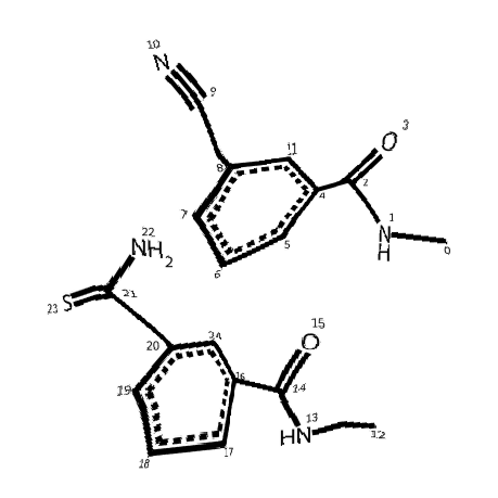 CNC(=O)c1cccc(C#N)c1.CNC(=O)c1cccc(C(N)=S)c1